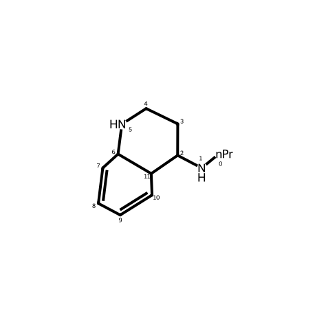 CCCNC1CCNC2C=CC=CC21